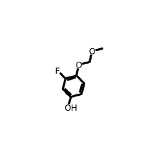 COCOc1ccc(O)cc1F